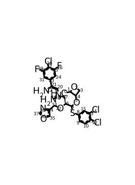 CC1OCC1OC(Sc1ccc(Cl)c(Cl)c1)[C@H](CN(N)/C=C(\N)c1cc(F)c(Cl)c(F)c1)OCc1cocn1